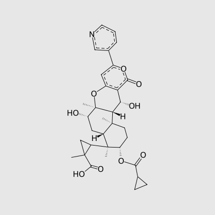 CC1(C(=O)O)CC1[C@]1(C)[C@@H](OC(=O)C2CC2)CC[C@]2(C)[C@H]3[C@@H](O)c4c(cc(-c5cccnc5)oc4=O)O[C@]3(C)[C@@H](O)C[C@H]21